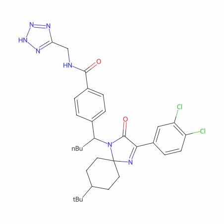 CCCCC(c1ccc(C(=O)NCc2nn[nH]n2)cc1)N1C(=O)C(c2ccc(Cl)c(Cl)c2)=NC12CCC(C(C)(C)C)CC2